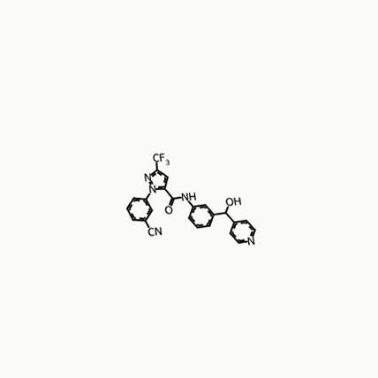 N#Cc1cccc(-n2nc(C(F)(F)F)cc2C(=O)Nc2cccc(C(O)c3ccncc3)c2)c1